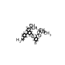 COCC(C)OC(=O)Cc1ccc(F)cc1OCc1cc(-c2cccc(CN)c2)c2ccn(C(C)C)c2c1